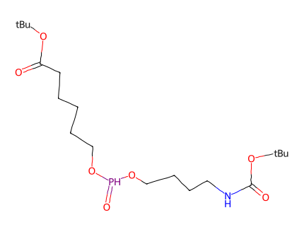 CC(C)(C)OC(=O)CCCCCO[PH](=O)OCCCCNC(=O)OC(C)(C)C